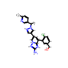 CCC(c1ccc(C(F)(F)F)nc1)n1cc(-c2cc(-c3cc(CO)ccc3Cl)c3nc(N)nn3c2)cn1